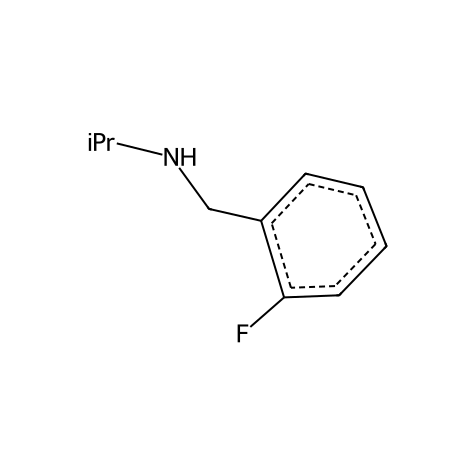 CC(C)NCc1ccccc1F